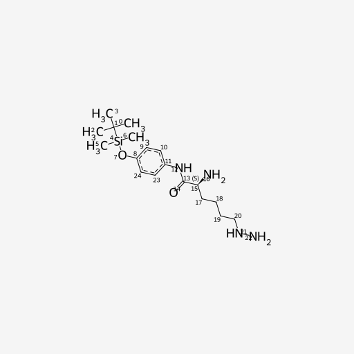 CC(C)(C)[Si](C)(C)Oc1ccc(NC(=O)[C@@H](N)CCCCNN)cc1